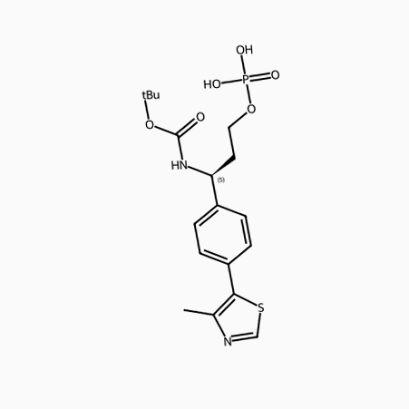 Cc1ncsc1-c1ccc([C@H](CCOP(=O)(O)O)NC(=O)OC(C)(C)C)cc1